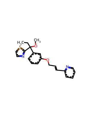 CCC(OC)(c1cccc(OCC=Cc2ccccn2)c1)c1nccs1